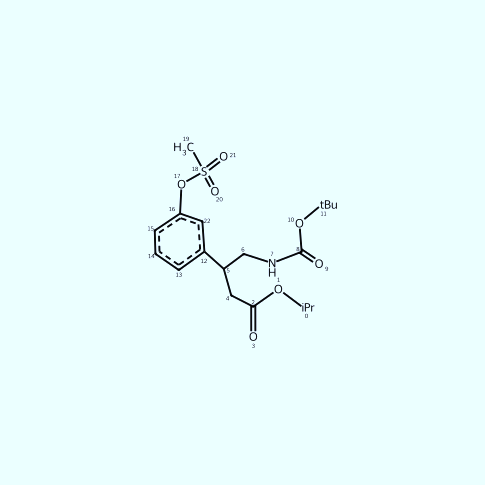 CC(C)OC(=O)CC(CNC(=O)OC(C)(C)C)c1cccc(OS(C)(=O)=O)c1